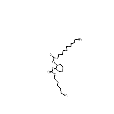 CC(C)CCCCCCCCCOC(=O)OC1CCCCC1OC(=O)OCCCCCC(C)C